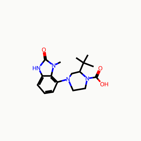 Cn1c(=O)[nH]c2cccc(N3CCN(C(=O)O)C(C(C)(C)C)C3)c21